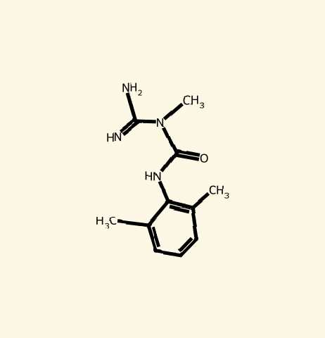 Cc1cccc(C)c1NC(=O)N(C)C(=N)N